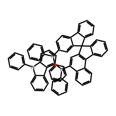 c1ccc(N(c2ccccc2)c2ccc3c(c2)C2(c4ccccc4-3)c3ccccc3-c3c2cc(N(c2ccccc2)c2cccc4c2c2ccccc2n4-c2ccccc2)c2ccccc32)cc1